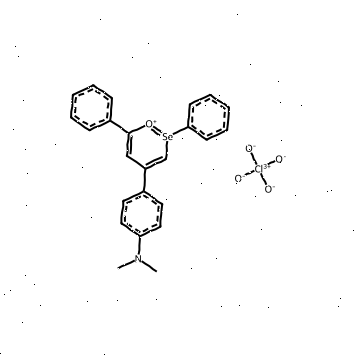 CN(C)c1ccc(C2=C[Se](c3ccccc3)=[O+]C(c3ccccc3)=C2)cc1.[O-][Cl+3]([O-])([O-])[O-]